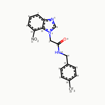 O=C(Cn1cnc2cccc([N+](=O)[O-])c21)NCc1ccc(C(F)(F)F)cc1